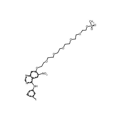 CS(=O)(=O)OCCOCCOCCOCCOCCOCCOc1cc2ncnc(Nc3cccc(I)c3)c2cc1[N+](=O)[O-]